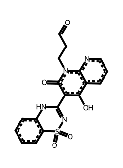 O=CCCn1c(=O)c(C2=NS(=O)(=O)c3ccccc3N2)c(O)c2cccnc21